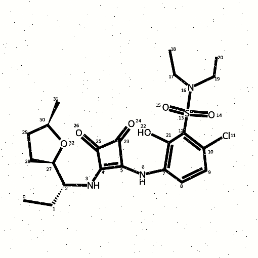 CC[C@@H](Nc1c(Nc2ccc(Cl)c(S(=O)(=O)N(CC)CC)c2O)c(=O)c1=O)[C@H]1CC[C@@H](C)O1